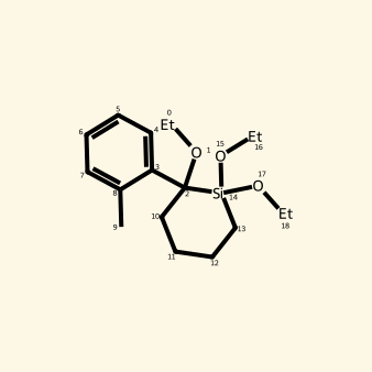 CCOC1(c2ccccc2C)CCCC[Si]1(OCC)OCC